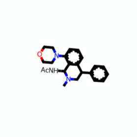 CC(=O)NC1c2c(cccc2N2CCOCC2)C(c2ccccc2)CN1C